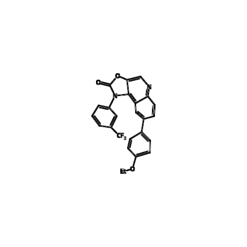 CCOc1ccc(-c2ccc3ncc4oc(=O)n(-c5cccc(C(F)(F)F)c5)c4c3c2)cc1